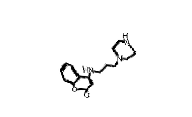 O=c1cc(NCCCN2CCNCC2)c2ccccc2o1